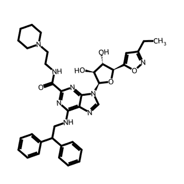 CCc1cc([C@H]2O[C@@H](n3cnc4c(NCC(c5ccccc5)c5ccccc5)nc(C(=O)NCCN5CCCCC5)nc43)[C@@H](O)[C@@H]2O)on1